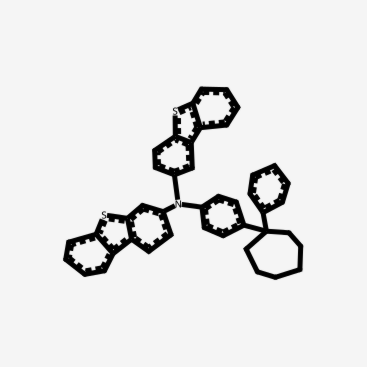 c1ccc(C2(c3ccc(N(c4ccc5c(c4)sc4ccccc45)c4ccc5sc6ccccc6c5c4)cc3)CCCCCC2)cc1